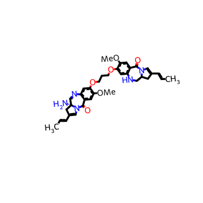 C/C=C/C1=CN2C(=O)c3cc(OC)c(OCCCOc4cc5c(cc4OC)C(=O)N4C=C(/C=C/C)C[C@@]4(N)C=N5)cc3NCC2C1